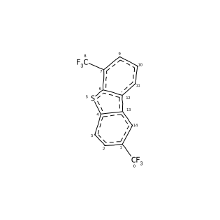 FC(F)(F)c1ccc2sc3c(C(F)(F)F)cccc3c2c1